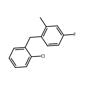 Cc1cc(F)ccc1[CH]c1ccccc1Cl